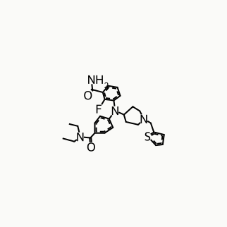 CCN(CC)C(=O)c1ccc(N(c2cccc(C(N)=O)c2F)C2CCN(Cc3cccs3)CC2)cc1